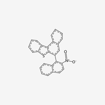 O=[N+]([O-])c1ccc2ccccc2c1-c1cc2ccccc2c2c1sc1ccccc12